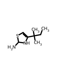 CCC(C)(C)C1=CSC(N)N1